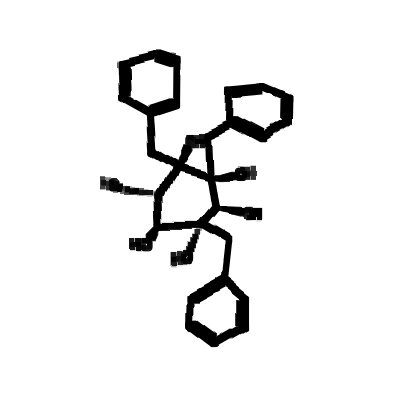 O[C@H]1[C@H](O)[C@](O)(Cc2ccccc2)[C@](O)(Cc2ccccc2)[C@@H](O)[C@@]1(O)Cc1ccccc1